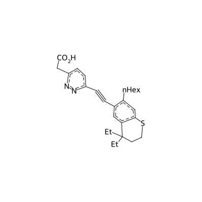 CCCCCCc1cc2c(cc1C#Cc1ccc(CC(=O)O)nn1)C(CC)(CC)CCS2